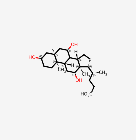 C[C@H](CCC(=O)O)[C@H]1CC[C@H]2C3[C@H](O)C[C@@H]4C[C@H](O)CC[C@]4(C)[C@H]3C[C@H](O)[C@]12C